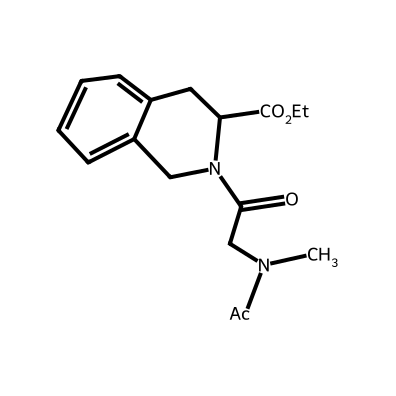 CCOC(=O)C1Cc2ccccc2CN1C(=O)CN(C)C(C)=O